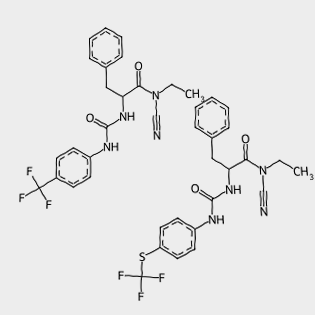 CCN(C#N)C(=O)C(Cc1ccccc1)NC(=O)Nc1ccc(C(F)(F)F)cc1.CCN(C#N)C(=O)C(Cc1ccccc1)NC(=O)Nc1ccc(SC(F)(F)F)cc1